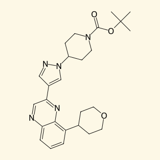 CC(C)(C)OC(=O)N1CCC(n2cc(-c3cnc4cccc(C5CCOCC5)c4n3)cn2)CC1